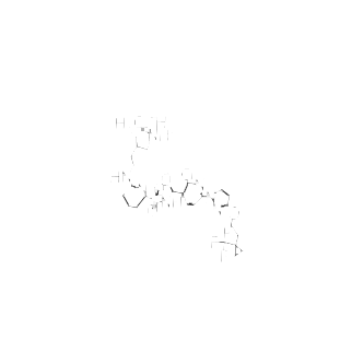 CC1(C)CC(CCNc2cccc(S(=O)(=O)NC(=O)c3ccc(-n4ccc(OCCC5(C(F)(F)F)CC5)n4)nc3Cl)n2)CN1